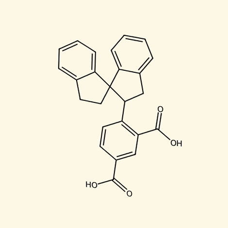 O=C(O)c1ccc(C2Cc3ccccc3C23CCc2ccccc23)c(C(=O)O)c1